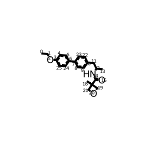 CCOc1ccc(-c2ccc(CC(C)NC(=O)C3(C)COC3)cc2)cc1